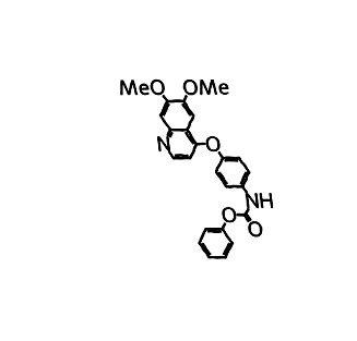 COc1cc2nccc(Oc3ccc(NC(=O)Oc4ccccc4)cc3)c2cc1OC